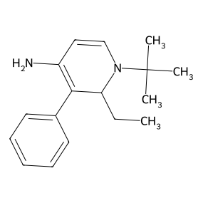 CCC1C(c2ccccc2)=C(N)C=CN1C(C)(C)C